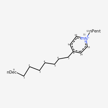 CCCCCCCCCCCCCCCCCc1cc[n+](CCCCC)cc1